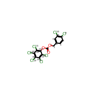 O=C(OCc1ccc(Cl)c(Cl)c1)Oc1c(Cl)c(Cl)c(Cl)c(Cl)c1Cl